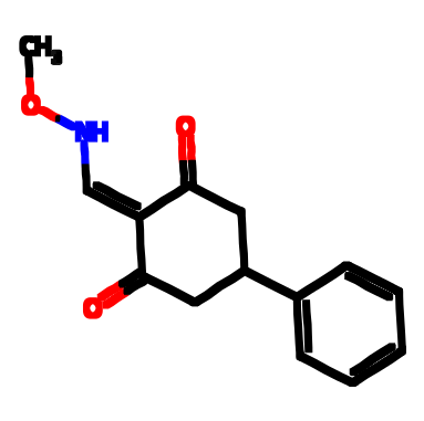 CONC=C1C(=O)CC(c2ccccc2)CC1=O